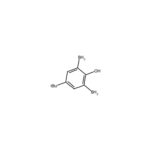 Bc1cc(C(C)(C)C)cc(B)c1O